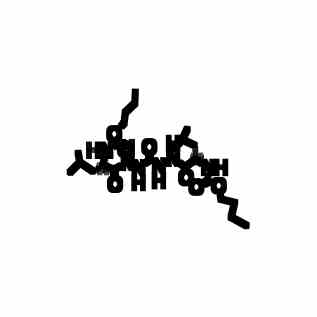 CCCCOC(=O)N[C@@H](CC(C)C)C(=O)NNC(=O)NNC(=O)[C@H](CC(C)C)NC(=O)OCCCC